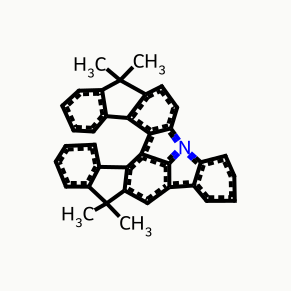 CC1(C)c2ccccc2-c2c1ccc1c2c2c3c(cc4c5ccccc5n1c42)C(C)(C)c1ccccc1-3